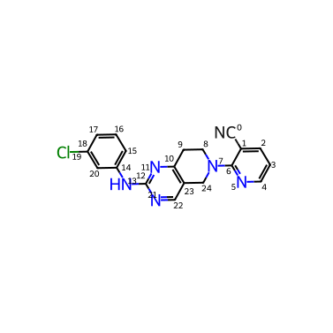 N#Cc1cccnc1N1CCc2nc(Nc3cccc(Cl)c3)ncc2C1